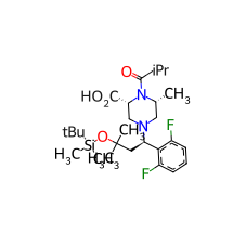 CC(C)C(=O)N1[C@H](C)CN([C@H](CC(C)(C)O[Si](C)(C)C(C)(C)C)c2c(F)cccc2F)C[C@@H]1C(=O)O